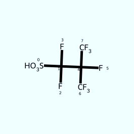 O=S(=O)(O)C(F)(F)C(F)(C(F)(F)F)C(F)(F)F